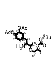 CCCCOC(=O)OC(C)[C@H](C)OC(=O)[C@@H](N)Cc1ccc(OC(C)=O)c(OC(C)=O)c1